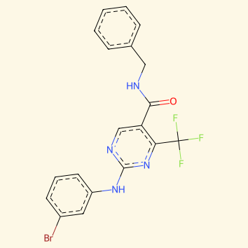 O=C(NCc1ccccc1)c1cnc(Nc2cccc(Br)c2)nc1C(F)(F)F